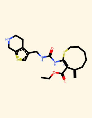 C=C1CCCCCS/C(NC(=O)NCc2csc3c2CCNC3)=C\1C(=O)OCC